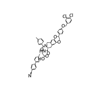 Cc1ccc(C(=O)N2Cc3cc4c(cc3C[C@H]2C(=O)N[C@@H](Cc2ccc(-c3ccc(C#N)cc3)cc2)C(=O)O)OCC(c2ccc(OCc3ccc(Cl)c(Cl)c3)cc2)O4)cc1